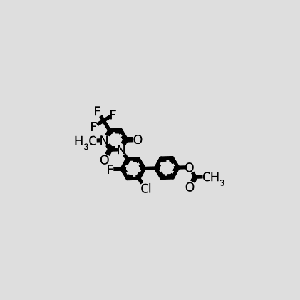 CC(=O)Oc1ccc(-c2cc(-n3c(=O)cc(C(F)(F)F)n(C)c3=O)c(F)cc2Cl)cc1